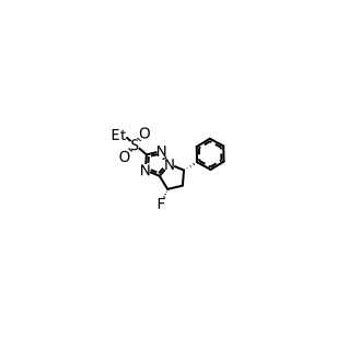 CCS(=O)(=O)c1nc2n(n1)[C@H](c1ccccc1)C[C@@H]2F